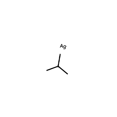 C[C](C)C.[Ag]